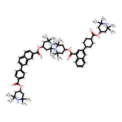 CC1(C)CC(OC(=O)c2ccc(-c3ccc4ccc(C(=O)OC5CC(C)(C)NC(C)(N6C(C)(C)CC(OC(=O)c7cc(C8CCC(C(=O)OC9CC(C)(C)NC(C)(C)C9)CC8)cc8ccccc78)CC6(C)C)C5)cc4c3)cc2)CC(C)(C)N1